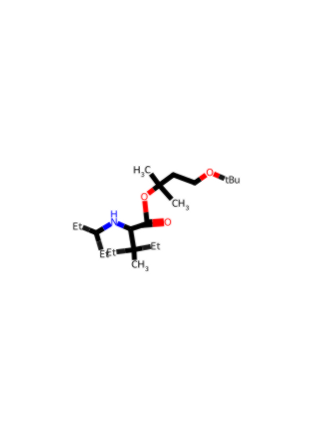 CCC(CC)NC(C(=O)OC(C)(C)CCOC(C)(C)C)C(C)(CC)CC